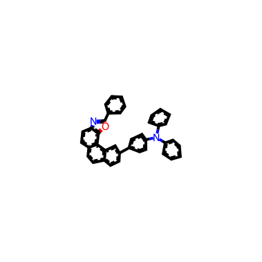 c1ccc(-c2nc3ccc4ccc5ccc(-c6ccc(N(c7ccccc7)c7ccccc7)cc6)cc5c4c3o2)cc1